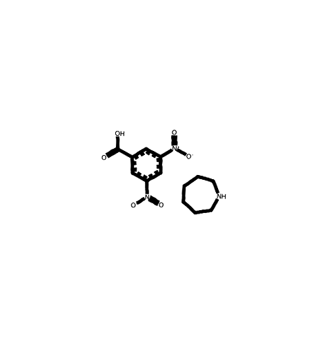 C1CCCNCC1.O=C(O)c1cc([N+](=O)[O-])cc([N+](=O)[O-])c1